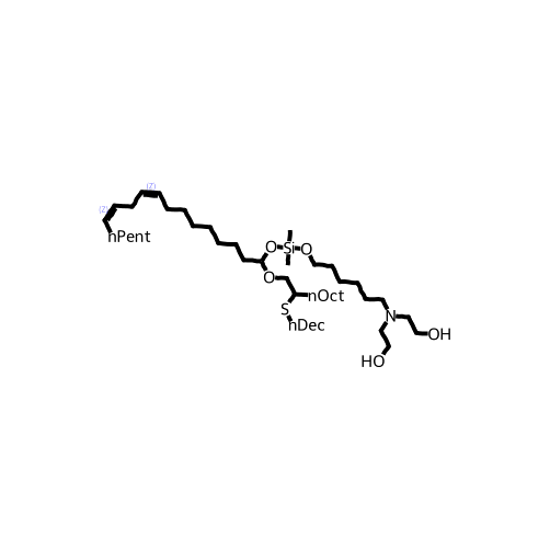 CCCCC/C=C\C/C=C\CCCCCCCC(OCC(CCCCCCCC)SCCCCCCCCCC)O[Si](C)(C)OCCCCCCN(CCO)CCO